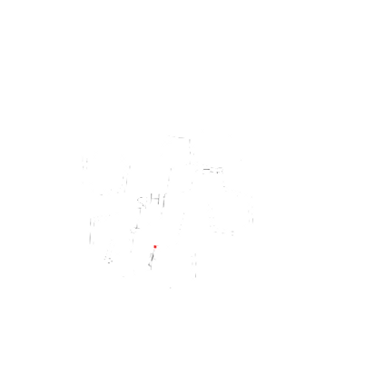 C1=C[CH]([Hf]([CH2]c2ccccc2)([CH2]c2ccccc2)([CH]2C=Cc3ccccc32)=[Si](c2ccccc2)c2ccccc2)c2ccccc21